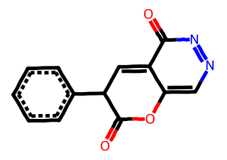 O=C1N=NC=C2OC(=O)C(c3ccccc3)C=C12